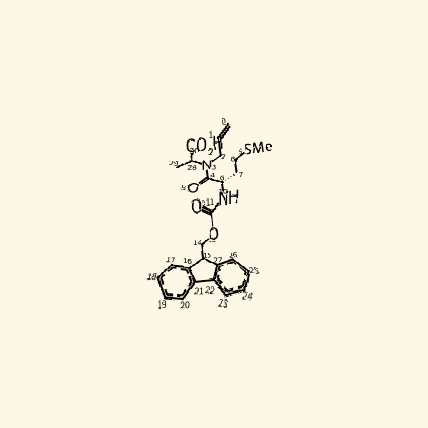 C=CCN(C(=O)[C@H](CCSC)NC(=O)OCC1c2ccccc2-c2ccccc21)[C@@H](C)C(=O)O